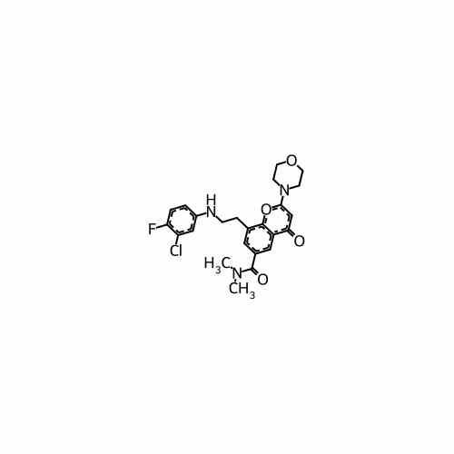 CN(C)C(=O)c1cc(CCNc2ccc(F)c(Cl)c2)c2oc(N3CCOCC3)cc(=O)c2c1